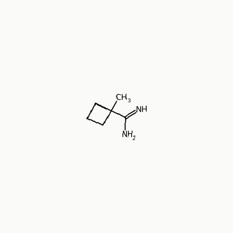 CC1(C(=N)N)CCC1